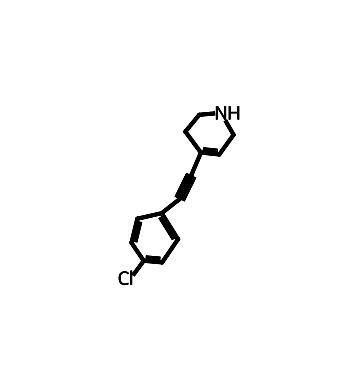 Clc1ccc(C#CC2=CCNCC2)cc1